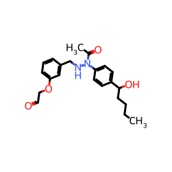 CCCCC(O)c1ccc(N(NCc2cccc(OCC=O)c2)C(C)=O)cc1